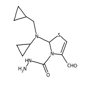 NNC(=O)N1C([C]=O)=CSC1N(CC1CC1)C1CC1